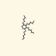 CCCCOC[C@H]1OC[C@@H](OCCCC)[C@@H](OCCCC)[C@@H]1OCCCC